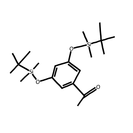 CC(=O)c1cc(O[Si](C)(C)C(C)(C)C)cc(O[Si](C)(C)C(C)(C)C)c1